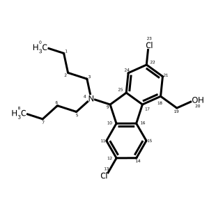 CCCCN(CCCC)C1c2cc(Cl)ccc2-c2c(CO)cc(Cl)cc21